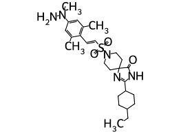 CCC1CCC(C2=NC3(CCN(S(=O)(=O)/C=C/c4c(C)cc(N(C)N)cc4C)CC3)C(=O)N2)CC1